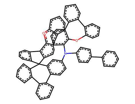 c1ccc(-c2ccc(N(c3ccc4c(c3)C3(c5ccccc5-c5ccccc5-4)c4ccccc4-c4c3ccc3c4oc4ccccc43)c3cccc4c3Oc3ccccc3-c3ccccc3-4)cc2)cc1